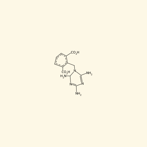 NC1=NC(N)N(Cc2c(C(=O)O)cccc2C(=O)O)C(N)=N1